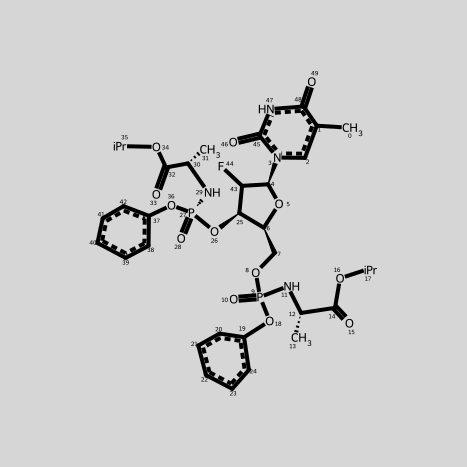 Cc1cn([C@H]2O[C@@H](COP(=O)(N[C@@H](C)C(=O)OC(C)C)Oc3ccccc3)[C@@H](O[P@](=O)(N[C@@H](C)C(=O)OC(C)C)Oc3ccccc3)C2F)c(=O)[nH]c1=O